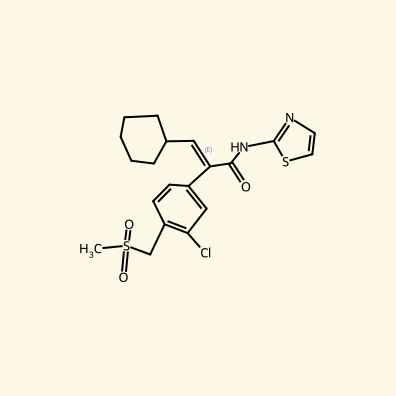 CS(=O)(=O)Cc1ccc(/C(=C\C2CCCCC2)C(=O)Nc2nccs2)cc1Cl